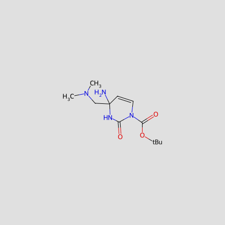 CN(C)CC1(N)C=CN(C(=O)OC(C)(C)C)C(=O)N1